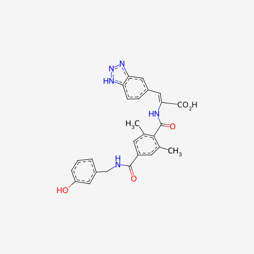 Cc1cc(C(=O)NCc2cccc(O)c2)cc(C)c1C(=O)NC(=Cc1ccc2[nH]nnc2c1)C(=O)O